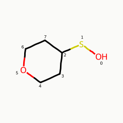 OSC1CCOCC1